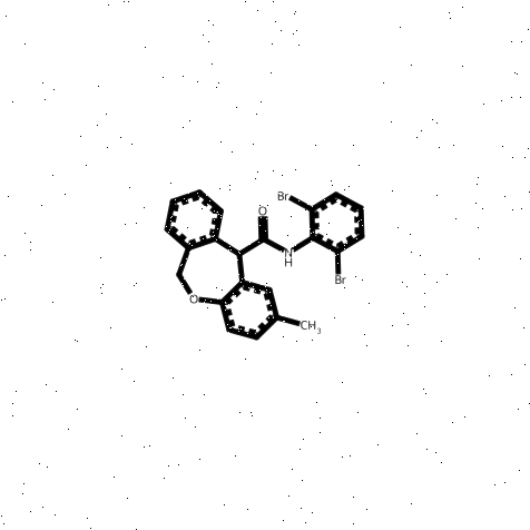 Cc1ccc2c(c1)C(C(=O)Nc1c(Br)cccc1Br)c1ccccc1CO2